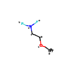 CCCOCCN(F)F